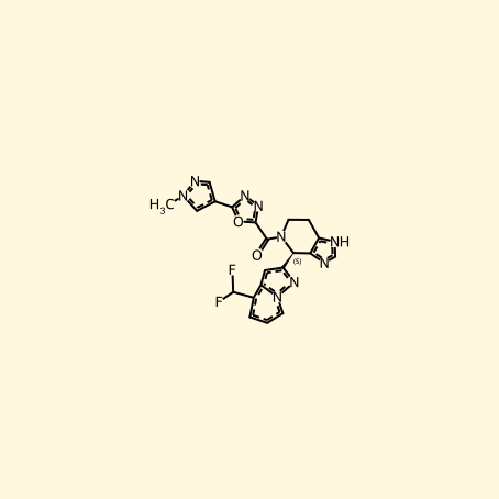 Cn1cc(-c2nnc(C(=O)N3CCc4[nH]cnc4[C@H]3c3cc4c(C(F)F)cccn4n3)o2)cn1